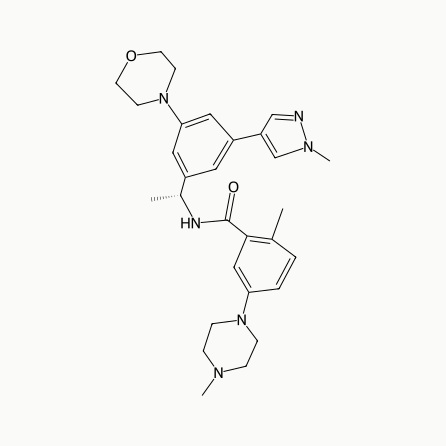 Cc1ccc(N2CCN(C)CC2)cc1C(=O)N[C@H](C)c1cc(-c2cnn(C)c2)cc(N2CCOCC2)c1